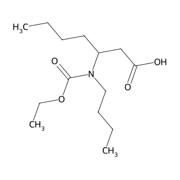 CCCCC(CC(=O)O)N(CCCC)C(=O)OCC